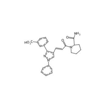 NC(=O)C1CCCCN1C(=O)C=Cc1cn(-c2ccccc2)nc1-c1cccc(C(=O)O)c1